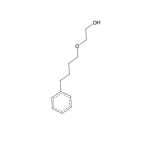 OCCOCCCCc1ccccc1